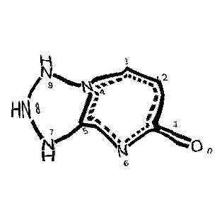 O=c1[c]cn2c(n1)NNN2